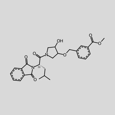 COC(=O)c1cccc(COC2CN(C(=O)[C@H](CC(C)C)N3C(=O)c4ccccc4C3=O)CC2O)c1